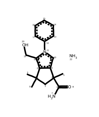 CC1(C)CC(C)(C(N)=O)c2cn(-c3ccccc3)c(CO)c21.N